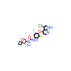 O=C(Nc1cc(F)c(Oc2ccnc3[nH]cc(Cl)c23)c(F)c1)NC1COC2(CCC2)C1